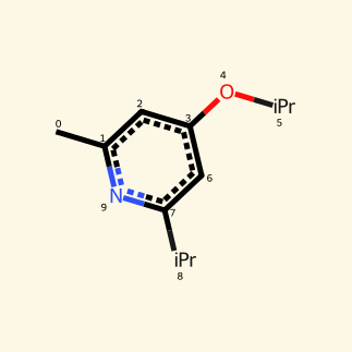 Cc1cc(OC(C)C)cc(C(C)C)n1